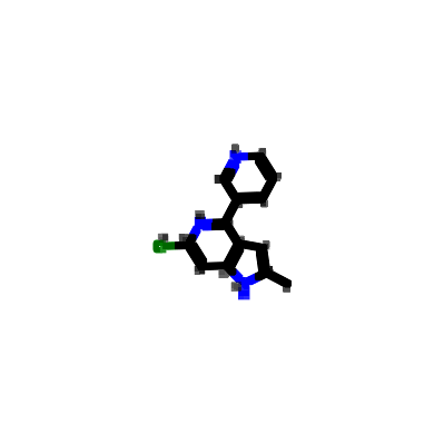 Cc1cc2c(-c3cccnc3)nc(Cl)cc2[nH]1